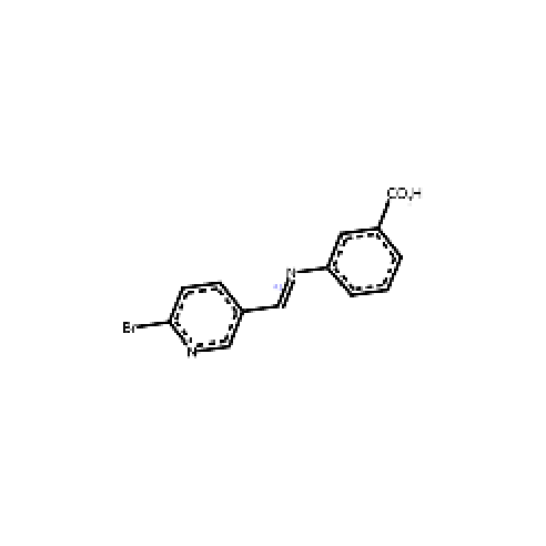 O=C(O)c1cccc(/N=C/c2ccc(Br)nc2)c1